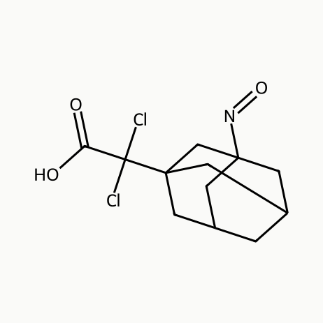 O=NC12CC3CC(C1)CC(C(Cl)(Cl)C(=O)O)(C3)C2